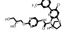 O=C(Nc1cnc(OC[C@@H](O)CO)nc1)N1c2nc(-c3cccc(C(F)(F)F)c3)c(Cl)cc2N2CC[C@H]1C2